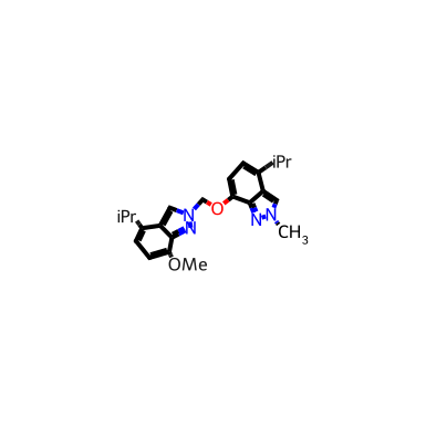 COc1ccc(C(C)C)c2cn(COc3ccc(C(C)C)c4cn(C)nc34)nc12